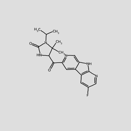 CC(C)N1C(=O)NC(C(=O)c2cc3c(cn2)[nH]c2ncc(F)cc23)C1(C)C